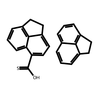 OC(=S)c1ccc2c3c(cccc13)CC2.c1cc2c3c(cccc3c1)CC2